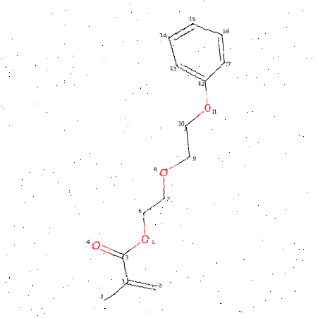 C=C(C)C(=O)OCCOCCOc1ccccc1